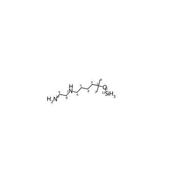 CC(C)(CCCCNCCN)O[SiH3]